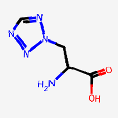 NC(Cn1ncnn1)C(=O)O